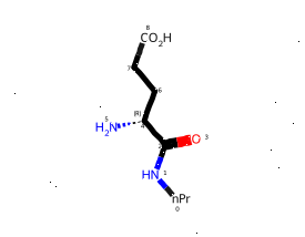 CCCNC(=O)[C@H](N)CCC(=O)O